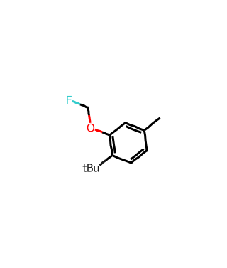 Cc1ccc(C(C)(C)C)c(OCF)c1